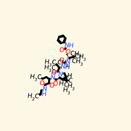 C=CCNC(=O)C(=O)C(CCC)NC(=O)[C@@H]1[C@@H]2[C@H](CN1C(=O)[C@@H](NC(=O)N[C@H](COC(=O)Nc1ccccc1)C(C)(C)C)C(C)(C)C)C2(C)C